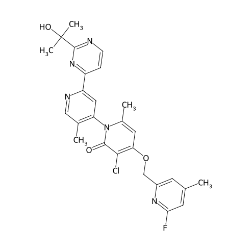 Cc1cc(F)nc(COc2cc(C)n(-c3cc(-c4ccnc(C(C)(C)O)n4)ncc3C)c(=O)c2Cl)c1